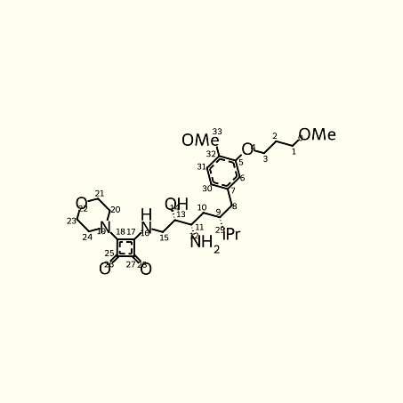 COCCCOc1cc(C[C@@H](C[C@H](N)[C@@H](O)CNc2c(N3CCOCC3)c(=O)c2=O)C(C)C)ccc1OC